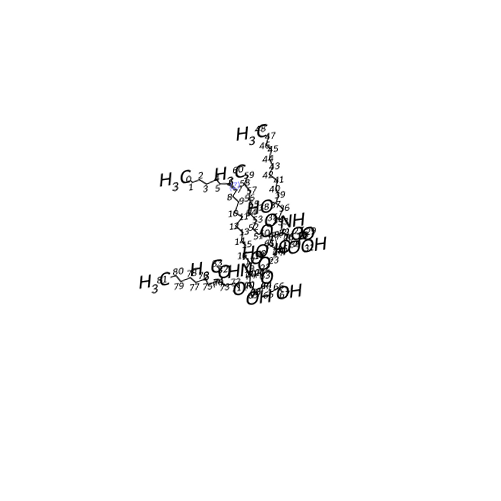 CCCCCC/C=C\CCCCCCCCCC(=O)N[C@H]1[C@H](OC[C@H]2O[C@H](OP(=O)(O)O)[C@H](NC(=O)CC(O)CCCCCCCCCC)[C@@H](OCCCCCCCCCC)[C@@H]2O)O[C@H](CCO)[C@@H](O)[C@@H]1OCC[C@@H](CCCCCCC)OC